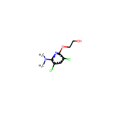 CN(C)c1nc(OCCO)c(Cl)cc1Cl